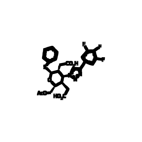 CC(=O)OC[C@@H]1O[C@@H](Sc2ccccc2)[C@H](CC(=O)O)[C@@H](n2cc(-c3cc(F)c(F)c(F)c3)nn2)[C@H]1CC(=O)O